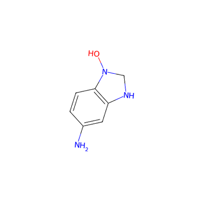 Nc1ccc2c(c1)NCN2O